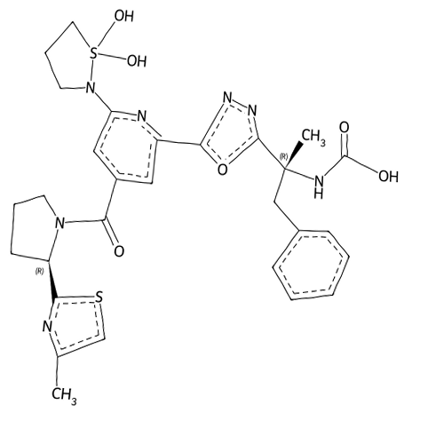 Cc1csc([C@H]2CCCN2C(=O)c2cc(-c3nnc([C@@](C)(Cc4ccccc4)NC(=O)O)o3)nc(N3CCCS3(O)O)c2)n1